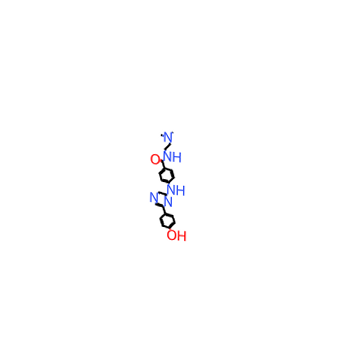 CN(C)CCNC(=O)c1ccc(Nc2cncc(-c3ccc(O)cc3)n2)cc1